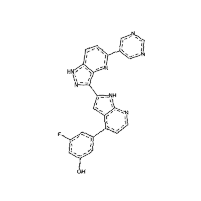 Oc1cc(F)cc(-c2ccnc3[nH]c(-c4n[nH]c5ccc(-c6cncnc6)nc45)cc23)c1